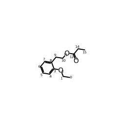 CCOc1ccccc1CCOC(=O)CC